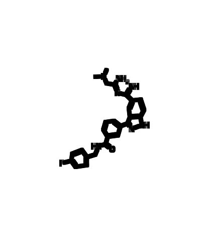 CN(C)C/C(N)=N/C(=N)c1ccc2[nH]nc(-c3cccc(C(=O)NCc4ccc(F)cc4)c3)c2c1